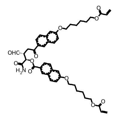 C=CC(=O)OCCCCCCOc1ccc2cc(C(=O)C[C@@H](C=O)[C@@H](OC(=O)c3ccc4cc(OCCCCCCOC(=O)C=C)ccc4c3)C(N)=O)ccc2c1